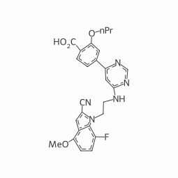 CCCOc1cc(-c2cc(NCCn3c(C#N)cc4c(OC)ccc(F)c43)ncn2)ccc1C(=O)O